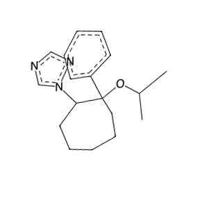 CC(C)OC1(c2ccccc2)CCCCCC1n1cncn1